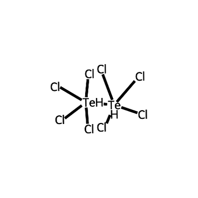 Cl[TeH](Cl)(Cl)(Cl)[TeH](Cl)(Cl)(Cl)Cl